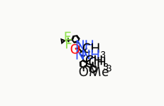 COc1ccc(-c2nc(C(=O)Nc3cccc(C(F)(F)C4CC4)c3)c(C)[nH]2)c(C)c1-c1ccccc1C